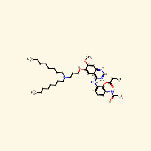 CCCCCCCCN(CCCCCCCC)CCCOc1cc2c(Nc3cccc(NC(C)=O)c3OC(=O)CC)ncnc2cc1OC